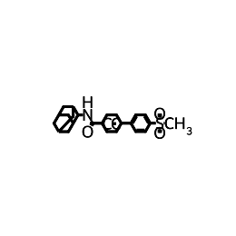 CS(=O)(=O)c1ccc(C23CCC(C(=O)NC4C5CC6CC(C5)CC4C6)(CC2)CC3)cc1